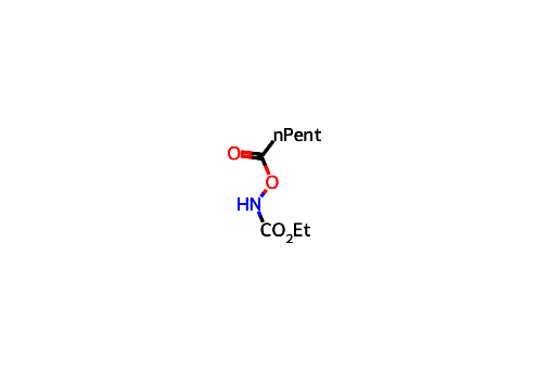 CCCCCC(=O)ONC(=O)OCC